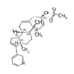 C[C@]12CC[C@H](OS(C)(=O)=O)CC1=CC[C@H]1[C@@H]3CC=C(c4cccnc4)[C@@]3(C)CC[C@@]12C